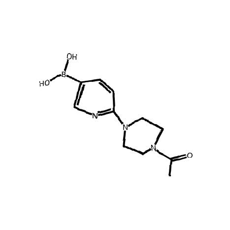 CC(=O)N1CCN(c2ccc(B(O)O)cn2)CC1